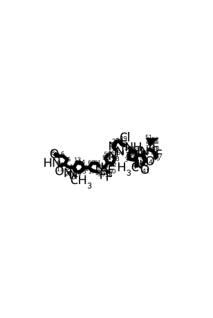 Cn1nc(C2CCC(=O)NC2=O)c2ccc(C3CCN([C@@H](C4CCN(c5ncc(Cl)c(Nc6ccc7c(c6)c6c(c(=O)n7C)OCC(F)(F)[C@H](C7CC7)N6)n5)CC4)C(F)(F)F)CC3)cc21